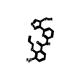 C=CCOc1c(C(=O)Nc2cccc(-c3nncn3CCCCC)n2)cccc1C(F)(F)F